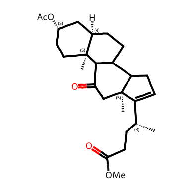 COC(=O)CC[C@@H](C)C1=CCC2C3CC[C@@H]4C[C@@H](OC(C)=O)CC[C@]4(C)C3C(=O)C[C@]12C